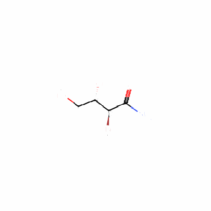 NC(=O)[C@@H](Br)[C@@H](O)CO